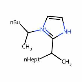 CCCCCCCC(C)c1[nH]cc[n+]1C(C)CCCC